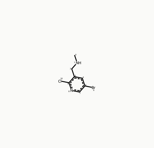 CNCc1cc(Br)cnc1Cl